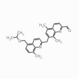 Cc1cc(Cc2ccc3c(COC(C)C)ccc(C)c3n2)c(C)c2nc(C=O)ccc12